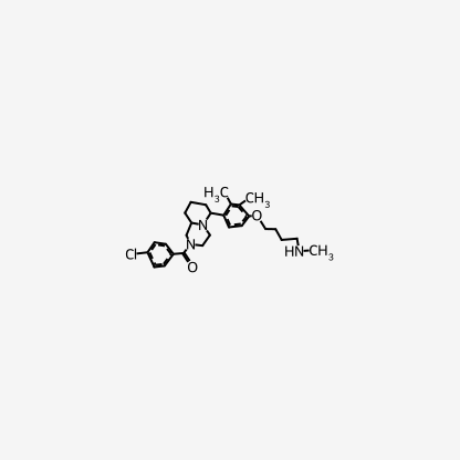 CNCCCCOc1ccc(C2CCCC3CN(C(=O)c4ccc(Cl)cc4)CCN32)c(C)c1C